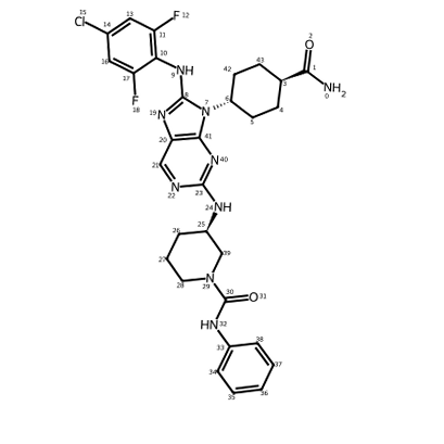 NC(=O)[C@H]1CC[C@H](n2c(Nc3c(F)cc(Cl)cc3F)nc3cnc(N[C@@H]4CCCN(C(=O)Nc5ccccc5)C4)nc32)CC1